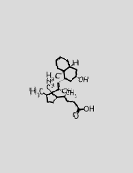 C[C@H](CCC(=O)O)[C@H]1CC[C@@H](C)[C@]1(C)[C@@H](O)C[C@H]1C[C@@H](O)C[C@@H]2CCCC[C@]12C